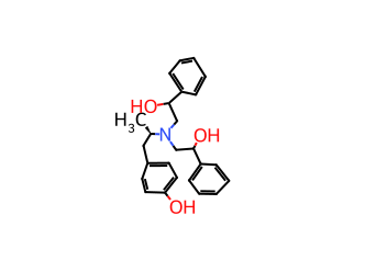 C[C@H](Cc1ccc(O)cc1)N(CC(O)c1ccccc1)CC(O)c1ccccc1